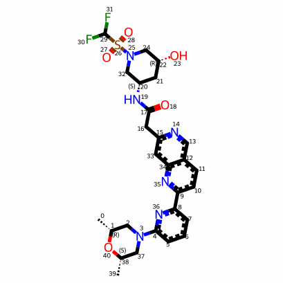 C[C@@H]1CN(c2cccc(-c3ccc4cnc(CC(=O)N[C@H]5C[C@@H](O)CN(S(=O)(=O)C(F)F)C5)cc4n3)n2)C[C@H](C)O1